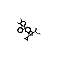 NC(=O)c1nn(C2CC2)c2c1C=CC(c1ccccc1)(c1ccc(F)c(F)c1)C2